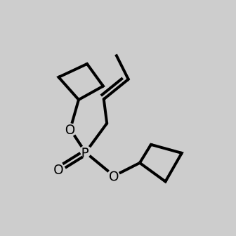 C/C=C/CP(=O)(OC1CCC1)OC1CCC1